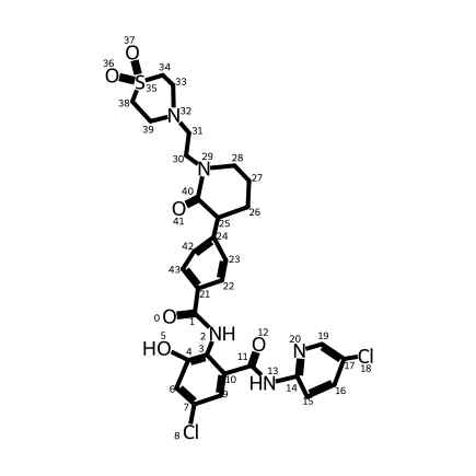 O=C(Nc1c(O)cc(Cl)cc1C(=O)Nc1ccc(Cl)cn1)c1ccc(C2CCCN(CCN3CCS(=O)(=O)CC3)C2=O)cc1